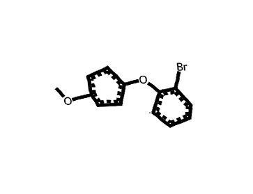 COc1ccc(Oc2[c]cccc2Br)cc1